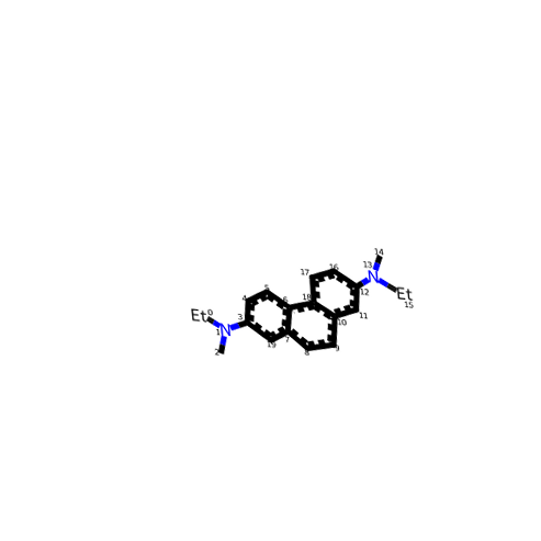 CCN(C)c1ccc2c(ccc3cc(N(C)CC)ccc32)c1